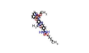 CCCCCCCOC(=O)NC(=N)c1ccc(Cc2nc3cc(N(CC(=O)OCC)S(=O)(=O)c4cccc5cccnc45)ccc3n(C)c2=O)cc1